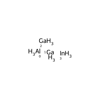 [AlH3].[GaH3].[GaH3].[InH3]